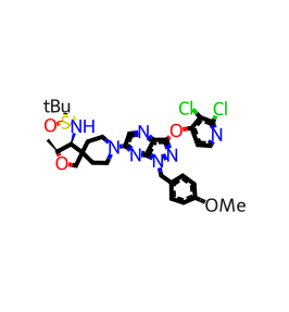 COc1ccc(Cn2nc(Oc3ccnc(Cl)c3Cl)c3ncc(N4CCC5(CC4)CO[C@@H](C)[C@H]5N[S+]([O-])C(C)(C)C)nc32)cc1